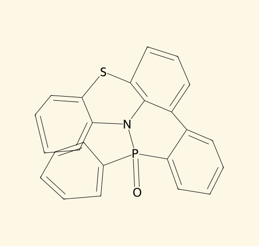 O=P1(c2ccccc2)c2ccccc2-c2cccc3c2N1c1ccccc1S3